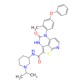 Cc1cc(Oc2ccccc2)ccc1N1C(=O)Nc2c(C(=O)NC3CCCN(C(C)C)C3)sc3nccc1c23